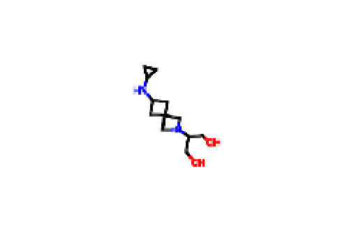 OCC(CO)N1CC2(CC(NC3CC3)C2)C1